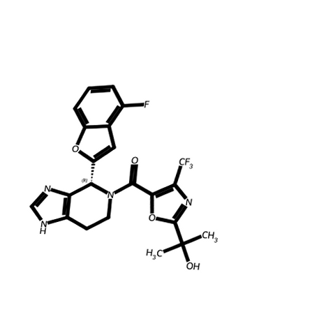 CC(C)(O)c1nc(C(F)(F)F)c(C(=O)N2CCc3[nH]cnc3[C@@H]2c2cc3c(F)cccc3o2)o1